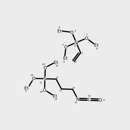 C=C[Si](OCC)(OCC)OCC.CCO[Si](CCCN=C=O)(OCC)OCC